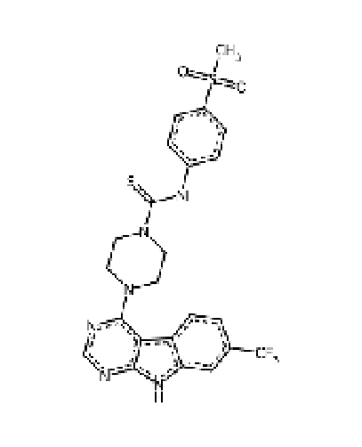 CS(=O)(=O)c1ccc(NC(=S)N2CCN(c3ncnc4[nH]c5cc(C(F)(F)F)ccc5c34)CC2)cc1